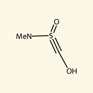 CNS(=O)#CO